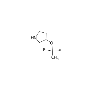 CC(F)(F)OC1CCNC1